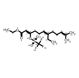 CCOC(=O)/C=C(/CC/C=C(\CC)CCC=C(C)C)OS(=O)(=O)C(F)(F)F